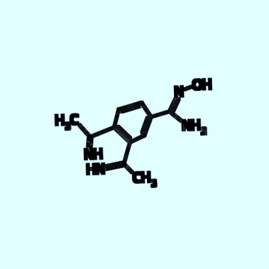 CC(=N)c1ccc(/C(N)=N/O)cc1C(C)=N